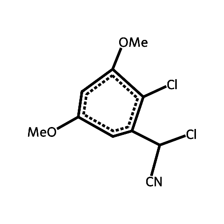 COc1cc(OC)c(Cl)c(C(Cl)C#N)c1